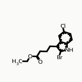 CCOC(=O)CCCc1c(Br)[nH]c2ccc(Cl)cc12